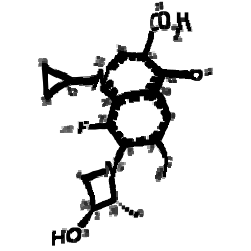 C[C@@H]1[C@@H](O)CN1c1c(F)cc2c(=O)c(C(=O)O)cn(C3CC3)c2c1F